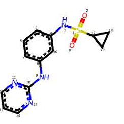 O=S(=O)(Nc1cccc(Nc2ncccn2)c1)C1CC1